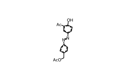 CC(=O)OCc1ccc(/N=N/c2ccc(O)c(C(C)=O)c2)cc1